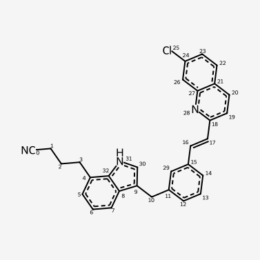 N#CCCCc1cccc2c(Cc3cccc(C=Cc4ccc5ccc(Cl)cc5n4)c3)c[nH]c12